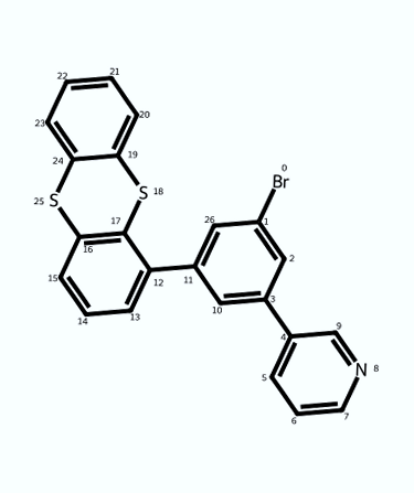 Brc1cc(-c2cccnc2)cc(-c2cccc3c2Sc2ccccc2S3)c1